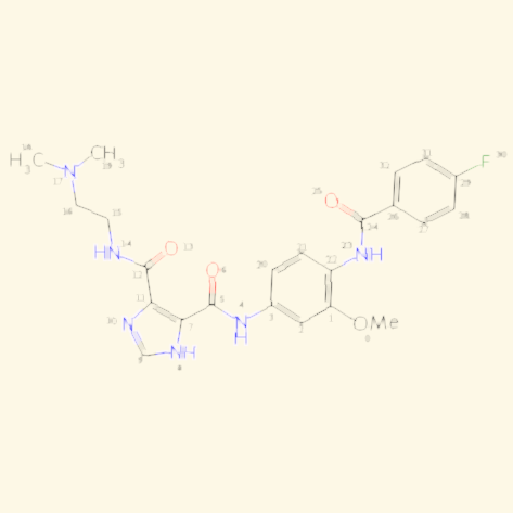 COc1cc(NC(=O)c2[nH]cnc2C(=O)NCCN(C)C)ccc1NC(=O)c1ccc(F)cc1